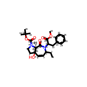 CCC1C=C[C@]2(O)CCN(C(=O)OC(C)(C)C)[C@H]2C(=O)N1C(Cc1ccccc1)C(=O)OC